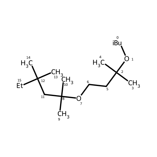 CCC(C)OC(C)(C)CCOC(C)(C)CC(C)(C)CC